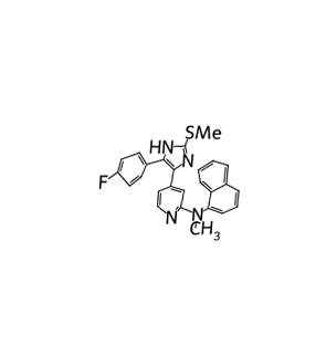 CSc1nc(-c2ccnc(N(C)c3cccc4ccccc34)c2)c(-c2ccc(F)cc2)[nH]1